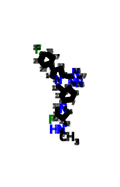 CNC[C@H]1CN(c2ccc3c(c2)Cn2cc(-c4ccc(F)cc4)cc2-c2ncnn2-3)C[C@H]1F